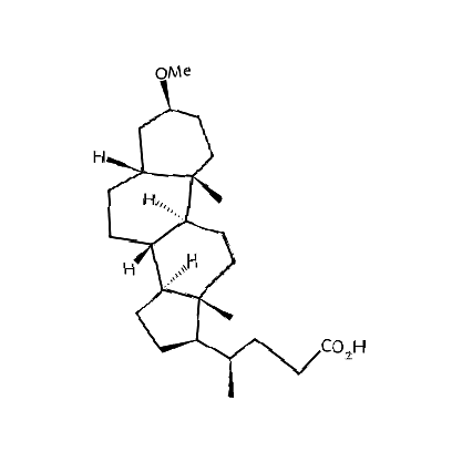 CO[C@H]1CC[C@@]2(C)[C@H](CC[C@@H]3[C@@H]2CC[C@]2(C)[C@@H]([C@H](C)CCC(=O)O)CC[C@@H]32)C1